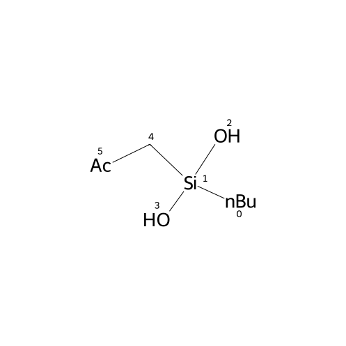 CCCC[Si](O)(O)CC(C)=O